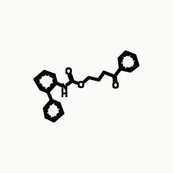 O=C(Nc1ccccc1-c1ccccc1)OCCCC(=O)c1ccccc1